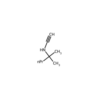 C#CNC(C)(C)CCC